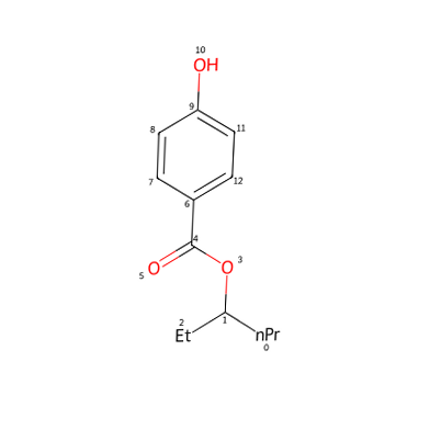 CCCC(CC)OC(=O)c1ccc(O)cc1